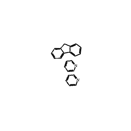 c1ccc2c(c1)Cc1ccccc1-2.c1ccncc1.c1ccncc1